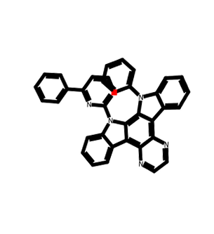 c1ccc(-c2ccnc(-n3c4ccccc4c4c5nccnc5c5c6ccccc6n(-c6ccccc6)c5c43)n2)cc1